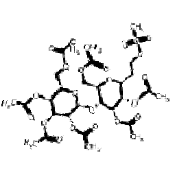 CC(=O)OC[C@H]1O[C@@H](O[C@H]2[C@H](OC(C)=O)[C@@H](OC(C)=O)[C@H](CCOS(C)(=O)=S)O[C@@H]2COC(C)=O)[C@H](OC(C)=O)[C@@H](OC(C)=O)[C@H]1OC(C)=O